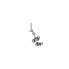 C=C(C)C(=O)OCC(CCc1ccc(-c2ccc(CCCCCCC)c(CC)c2)cc1)COC(=O)C(C)CC(CO)CO